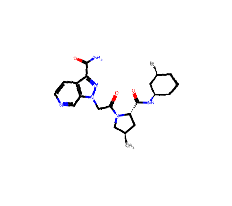 CC[C@H]1CCC[C@@H](NC(=O)[C@@H]2C[C@@H](C)CN2C(=O)Cn2nc(C(N)=O)c3ccncc32)C1